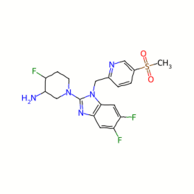 CS(=O)(=O)c1ccc(Cn2c(N3CCC(F)C(N)C3)nc3cc(F)c(F)cc32)nc1